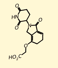 O=C(O)COC1=C2CN(C3CCC(=O)NC3=O)C(=O)C2=CCC1